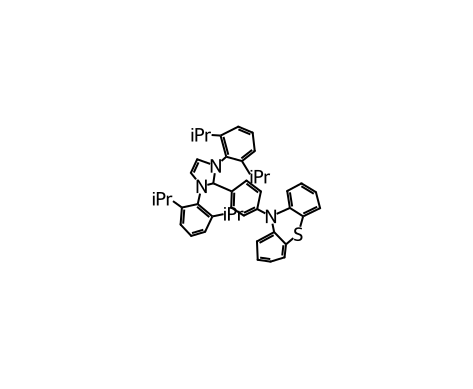 CC(C)c1cccc(C(C)C)c1N1C=CN(c2c(C(C)C)cccc2C(C)C)C1c1ccc(N2c3ccccc3Sc3ccccc32)cc1